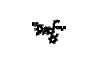 CC(C)CC(C(=O)O)C1=CC(c2ccccc2F)=CC(Oc2cc(F)cc(C(F)(F)F)c2)(C(F)(F)F)C1